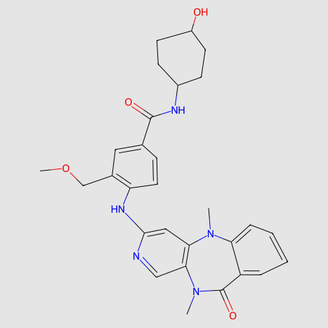 COCc1cc(C(=O)NC2CCC(O)CC2)ccc1Nc1cc2c(cn1)N(C)C(=O)c1ccccc1N2C